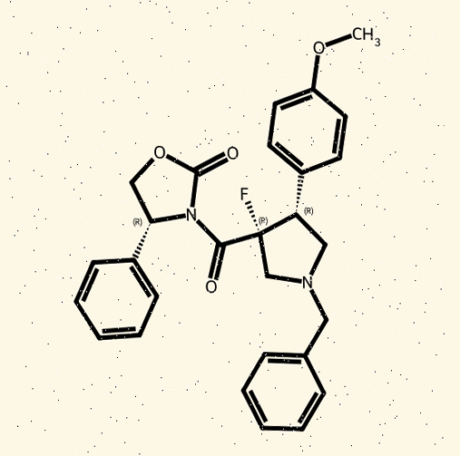 COc1ccc([C@@H]2CN(Cc3ccccc3)C[C@@]2(F)C(=O)N2C(=O)OC[C@H]2c2ccccc2)cc1